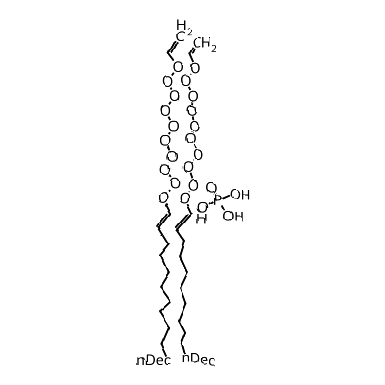 C=COOOOOOOOOOC=CCCCCCCCCCCCCCCCCCC.C=COOOOOOOOOOC=CCCCCCCCCCCCCCCCCCC.O=P(O)(O)O